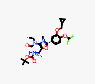 [CH2]CN(C=O)C1=C([C@H](C)NC(=O)OC(C)(C)C)O[C@@H](c2ccc(OC(F)F)c(OCC3CC3)c2)N1C